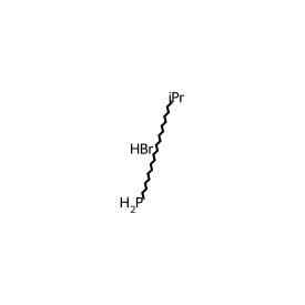 Br.CC(C)CCCCCCCCCCCCCCCCCCCCCP